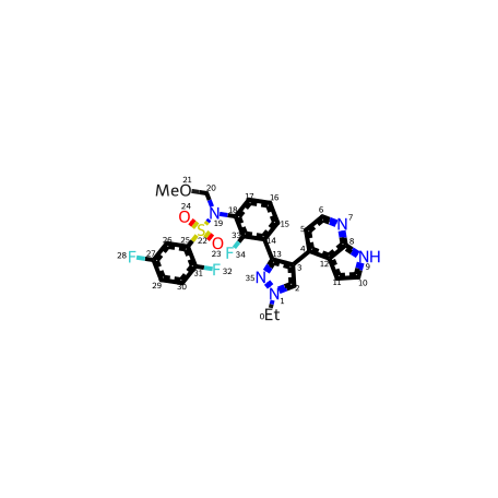 CCn1cc(-c2ccnc3[nH]ccc23)c(-c2cccc(N(COC)S(=O)(=O)c3cc(F)ccc3F)c2F)n1